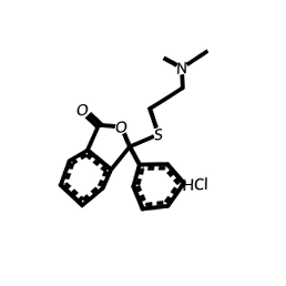 CN(C)CCSC1(c2ccccc2)OC(=O)c2ccccc21.Cl